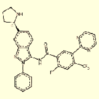 O=C(Nc1c2ccc([C@H]3CCCN3)cc2nn1-c1ccccc1)c1cc(-c2ncccn2)c(C(F)(F)F)cc1F